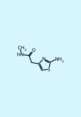 CNC(=O)Cc1csc(N)n1